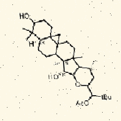 CC(=O)OC(C1C[C@@H](C)C2C(O1)[C@H](O)[C@@]1(C)C3CC[C@H]4C(C)(C)C(O)CCC45CC35CCC21C)C(C)(C)C